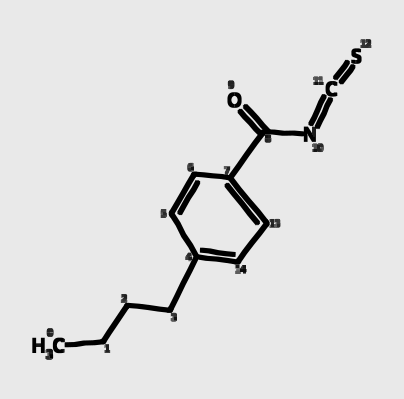 CCCCc1ccc(C(=O)N=C=S)cc1